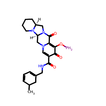 CC1C=CC=C(CNC(=O)c2cn3c(c(OP)c2=O)C(=O)N2C[C@@H]4CCCCN4[C@@H]2C3)C1